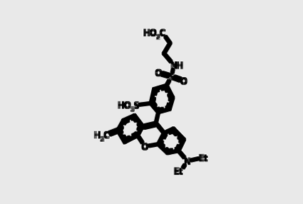 C=c1ccc2c(c1)Oc1cc(N(CC)CC)ccc1C=2c1ccc(S(=O)(=O)NCCC(=O)O)cc1S(=O)(=O)O